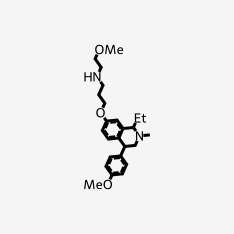 CCC1c2cc(OCCCNCCOC)ccc2C(c2ccc(OC)cc2)CN1C